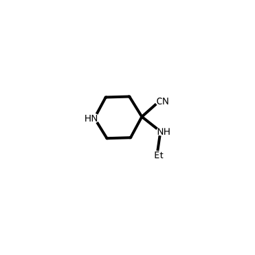 CCNC1(C#N)CCNCC1